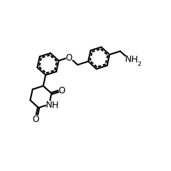 NCc1ccc(COc2cccc(C3CCC(=O)NC3=O)c2)cc1